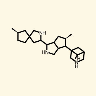 C[C@@H]1CCC2(CNC(C3NCC4C3C[C@@H](C)C4C34CNCC(C3)[C@@H]4C)C2)C1